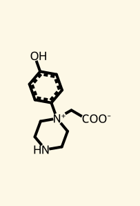 O=C([O-])C[N+]1(c2ccc(O)cc2)CCNCC1